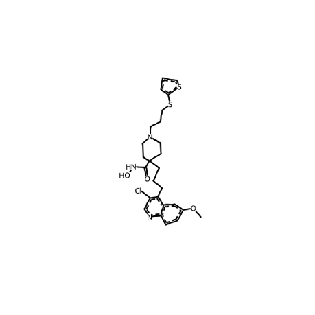 COc1ccc2ncc(Cl)c(CCCC3(C(=O)NO)CCN(CCCSc4cccs4)CC3)c2c1